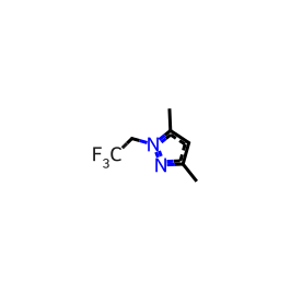 Cc1cc(C)n(CC(F)(F)F)n1